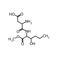 CCCC(O)C(NC(=O)C(N)CC(=O)O)C(=O)OC